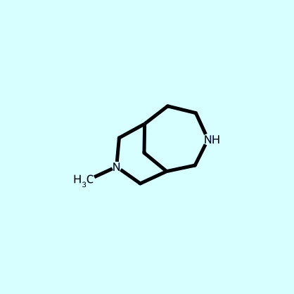 CN1CC2CCNCC(C2)C1